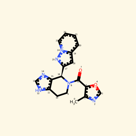 Cc1ncoc1C(=O)N1CCc2[nH]cnc2[C@H]1c1cc2ccccn2n1